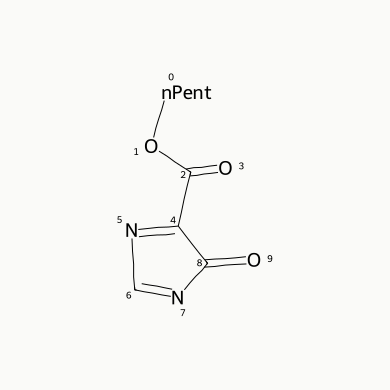 CCCCCOC(=O)C1=NC=NC1=O